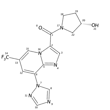 O=C(c1cnc2c(-n3cncn3)cc(C(F)(F)F)cn12)N1CC[C@H](O)C1